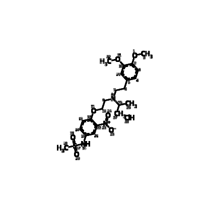 COc1ccc(CCN(CCOc2ccc(NS(C)(=O)=O)cc2[N+](=O)[O-])C(C)C)cc1OC.Cl